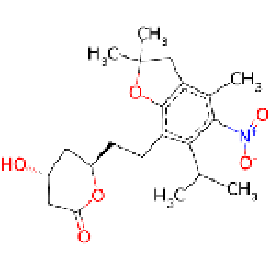 Cc1c2c(c(CC[C@@H]3C[C@@H](O)CC(=O)O3)c(C(C)C)c1[N+](=O)[O-])OC(C)(C)C2